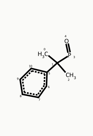 CC(C)(P=O)c1ccccc1